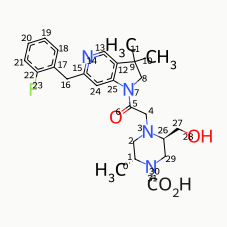 C[C@@H]1CN(CC(=O)N2CC(C)(C)c3cnc(Cc4ccccc4F)cc32)[C@@H](CO)CN1C(=O)O